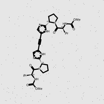 COC(=O)N[C@H](C(=O)N1CCC[C@H]1c1ncc(C#Cc2cnc([C@@H]3CCCN3C(=O)[C@@H](NC(=O)OC)C(C)C)[nH]2)[nH]1)C(C)C